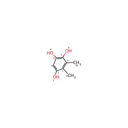 Cc1c(O)cc(O)c(O)c1C